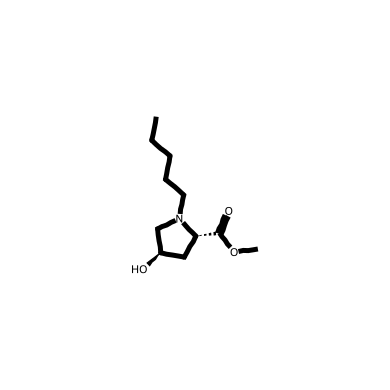 CCCCCN1C[C@H](O)C[C@H]1C(=O)OC